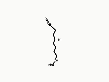 CCC[CH2][Zn][CH2]CCCCCCC#P=S.[Zn]